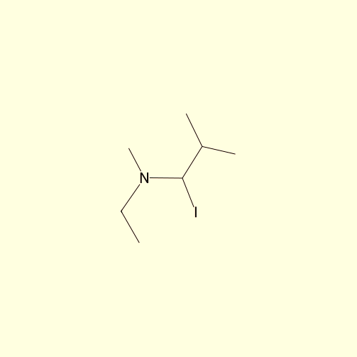 CCN(C)C(I)C(C)C